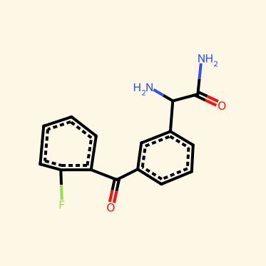 NC(=O)C(N)c1cccc(C(=O)c2ccccc2F)c1